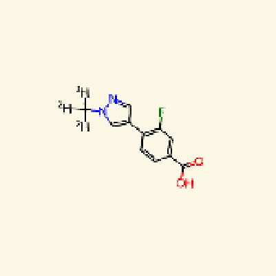 [2H]C([2H])([2H])n1cc(-c2ccc(C(=O)O)cc2F)cn1